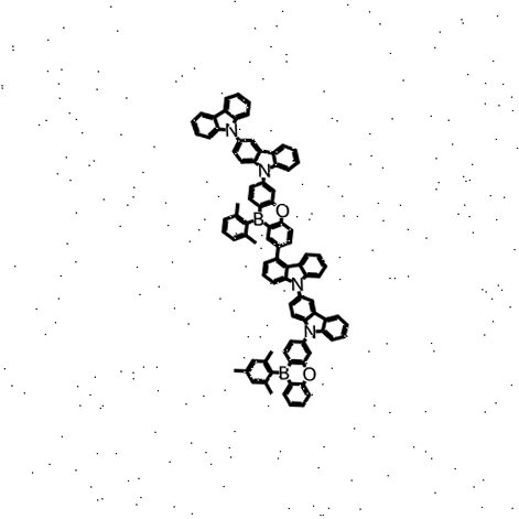 Cc1cc(C)c(B2c3ccccc3Oc3cc(-n4c5ccccc5c5cc(-n6c7ccccc7c7c(-c8ccc9c(c8)B(c8c(C)cccc8C)c8ccc(-n%10c%11ccccc%11c%11cc(-n%12c%13ccccc%13c%13ccccc%13%12)ccc%11%10)cc8O9)cccc76)ccc54)ccc32)c(C)c1